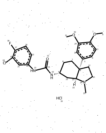 COc1ccc([C@@]23CC[C@@H](NC(=O)Nc4ccc(F)c(Cl)c4)C[C@@H]2N(C)CC3)cc1OC.Cl